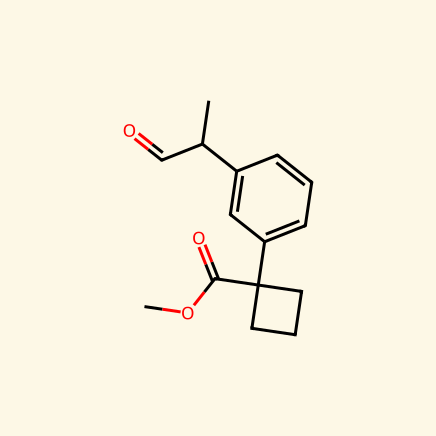 COC(=O)C1(c2cccc(C(C)C=O)c2)CCC1